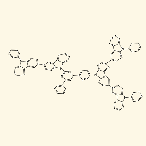 c1ccc(-c2cc(-c3ccc(-n4c5ccc(-c6ccc7c(c6)c6ccccc6n7-c6ccccc6)cc5c5cc(-c6ccc7c(c6)c6ccccc6n7-c6ccccc6)ccc54)cc3)nc(-n3c4ccccc4c4cc(-c5ccc6c(c5)c5ccccc5n6-c5ccccc5)ccc43)n2)cc1